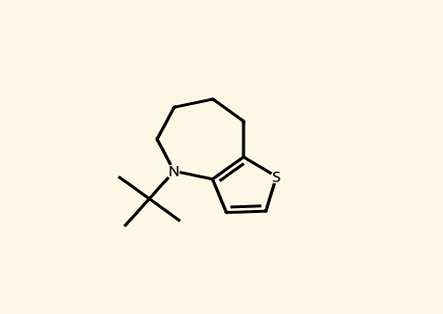 CC(C)(C)N1CCCCc2sccc21